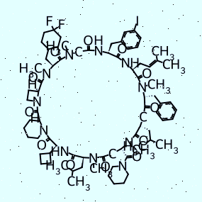 CC(C)=CC[C@@H]1NC(=O)[C@H](Cc2cccc(I)c2)NC(=O)CN(C)C(=O)[C@H](CC2CCC(F)(F)CC2)N(C)C(=O)[C@@H]2CCN2C(=O)[C@@H]2CCCCN2C(=O)[C@H](C2CCC2)NC(=O)[C@H](CC(C)C)N(C)C(=O)C[C@@H](C(=O)N2CCCCC2)N(C)C(=O)[C@@H](CC(C)C)CC(=O)[C@@H](Cc2ccccc2)N(C)C1=O